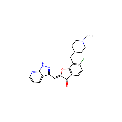 O=C1/C(=C/c2n[nH]c3ncccc23)Oc2c1ccc(F)c2CC1CCN(C(=O)O)CC1